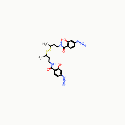 CC(CCNC(=O)c1ccc(N=[N+]=[N-])cc1O)SSC(C)CCNC(=O)c1ccc(N=[N+]=[N-])cc1O